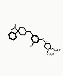 CN(C)C1(c2ccccc2)CCC(Cc2cc(Cl)cc(O[C@H]3C[C@@H](C(=O)O)N(C(=O)O)C3)c2)CC1